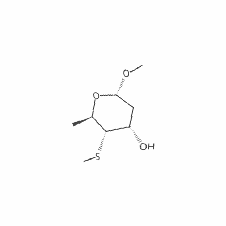 CO[C@@H]1C[C@H](O)[C@H](SC)[C@@H](C)O1